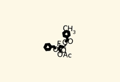 CC(=O)O[C@H]1O[C@H](COC(=O)c2ccc(C)cc2)[C@@H](F)[C@H]1OCc1ccccc1